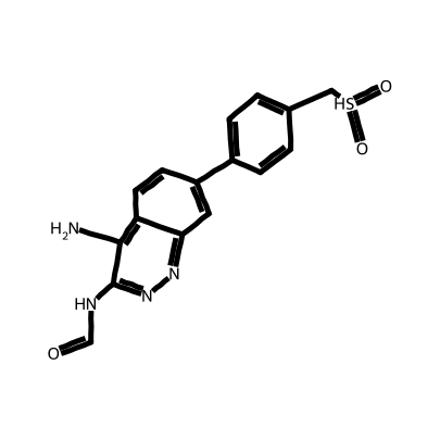 Nc1c(NC=O)nnc2cc(-c3ccc(C[SH](=O)=O)cc3)ccc12